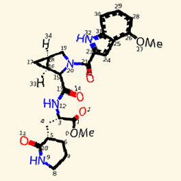 COC(=O)[C@H](C[C@@H]1CCCNC1=O)NC(=O)C1[C@H]2C[C@H]2CN1C(=O)c1cc2c(OC)cccc2[nH]1